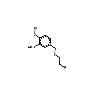 CCOc1ccc(COCCC(C)C)cc1OC